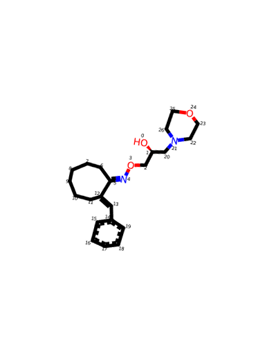 O[C@H](CO/N=C1\CCCCCC\C1=C/c1ccccc1)CN1CCOCC1